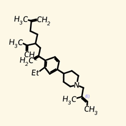 C=C(C)CCC(CC(=C)c1ccc(C2CCN(C/C(C)=C/C)CC2)cc1CC)C(=C)C